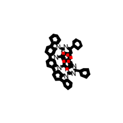 C1=CC(c2ccnc(-n3c4ccccc4c4ccc5c6ccc7c8ccc9c%10ccccc%10n(-c%10nc(-c%11ccccc%11)nc(-c%11ccccc%11)n%10)c9c8n(-c8ccccc8)c7c6n(-c6ccccc6)c5c43)n2)=CCC1